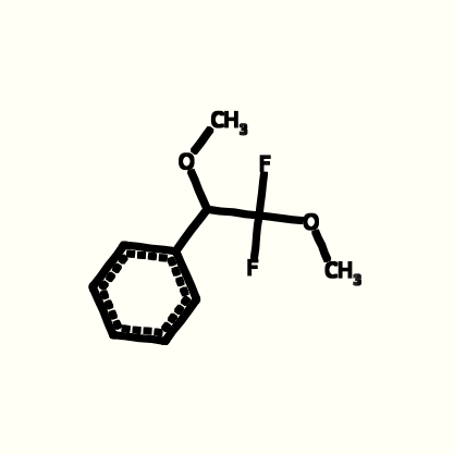 COC(c1ccccc1)C(F)(F)OC